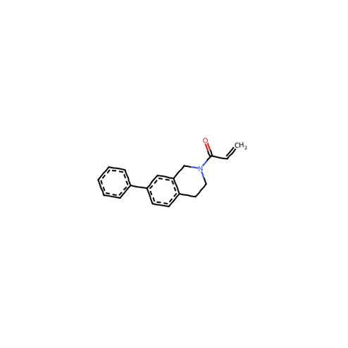 C=CC(=O)N1CCc2ccc(-c3ccccc3)cc2C1